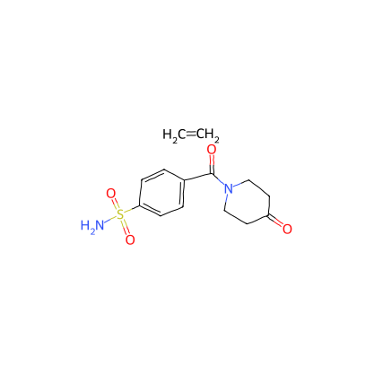 C=C.NS(=O)(=O)c1ccc(C(=O)N2CCC(=O)CC2)cc1